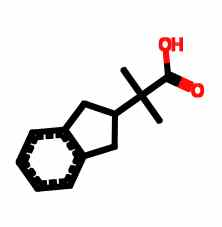 CC(C)(C(=O)O)C1Cc2ccccc2C1